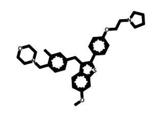 COc1ccc2c(Cc3ccc(CN4CCOCC4)c(C)c3)c(-c3ccc(OCCN4CCCC4)cc3)sc2c1